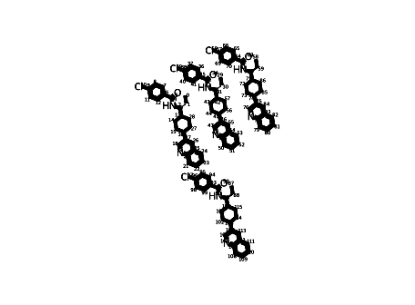 CC[C@@H](NC(=O)c1ccc(Cl)cc1)C1CCC(c2cnc3ccccc3c2)CC1.CC[C@@H](NC(=O)c1ccc(Cl)cc1)C1CCC(c2cnc3ccccc3c2)CC1.CC[C@H](NC(=O)c1ccc(Cl)cc1)C1CCC(c2cnc3ccccc3c2)CC1.CC[C@H](NC(=O)c1ccc(Cl)cc1)C1CCC(c2cnc3ccccc3c2)CC1